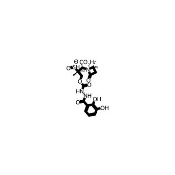 C[C@@H]1CC(=O)N1[C@@H](C(=O)O)[C@](C)(COC(=O)NNC(=O)c1cccc(O)c1O)[SH](=O)=O